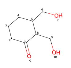 O=C1CCCC(CO)C1CO